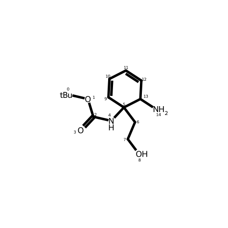 CC(C)(C)OC(=O)NC1(CCO)C=CC=CC1N